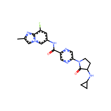 Cc1cn2cc(NC(=O)c3cnc(N4CCC(NC5CC5)C4=O)cn3)cc(F)c2n1